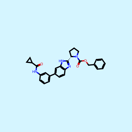 O=C(Nc1cccc(-c2ccc3nc([C@@H]4CCCN4C(=O)OCc4ccccc4)[nH]c3c2)c1)C1CC1